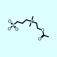 CC(=O)OCC[N+](C)(C)CCCS(=O)(=O)[O-]